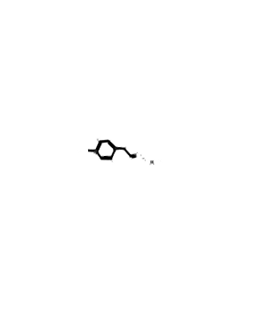 O=C(O)NN=CCc1ccc(F)cc1